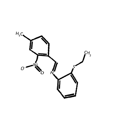 CCSc1ccccc1/N=C/c1ccc(C)cc1[N+](=O)[O-]